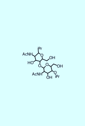 CC(=O)NC1C(OC2C(CO)OC(C(C)C)C(NC(C)=O)C2O)OC(CO)C(OC(C)C)C1O